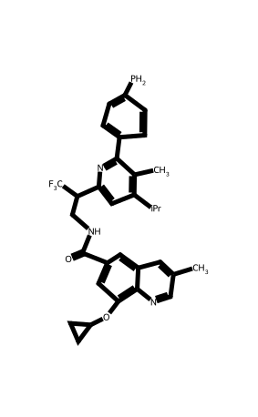 Cc1cnc2c(OC3CC3)cc(C(=O)NCC(c3cc(C(C)C)c(C)c(-c4ccc(P)cc4)n3)C(F)(F)F)cc2c1